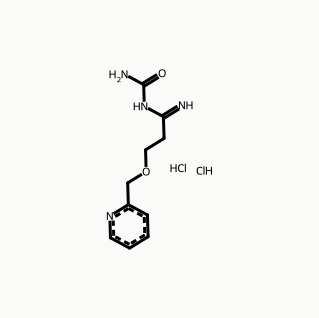 Cl.Cl.N=C(CCOCc1ccccn1)NC(N)=O